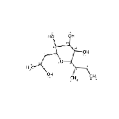 CCC(C)C1OC(CC(C)O)C(O)C(O)C1O